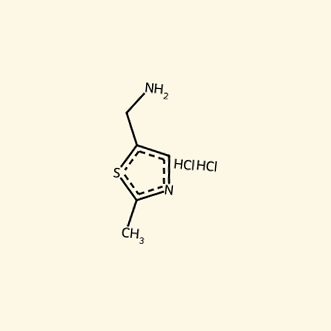 Cc1ncc(CN)s1.Cl.Cl